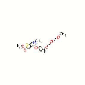 CCOCCOCCOCC1(c2ccc(OC3=c4cc(C(=O)OC)sc4=CN(C)C3)cc2)CC1